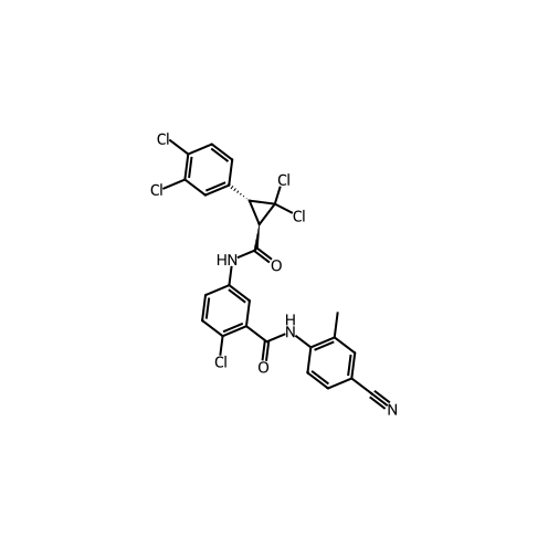 Cc1cc(C#N)ccc1NC(=O)c1cc(NC(=O)[C@H]2[C@H](c3ccc(Cl)c(Cl)c3)C2(Cl)Cl)ccc1Cl